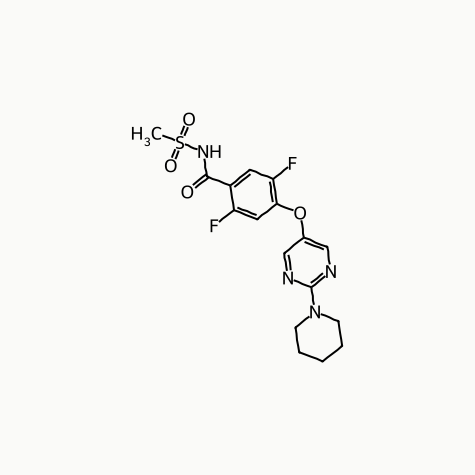 CS(=O)(=O)NC(=O)c1cc(F)c(Oc2cnc(N3CCCCC3)nc2)cc1F